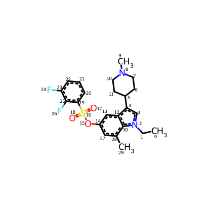 CCn1cc(C2CCN(C)CC2)c2cc(OS(=O)(=O)c3cccc(F)c3F)cc(C)c21